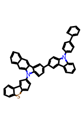 c1ccc(-c2ccc(-n3c4ccccc4c4cc(-c5ccc6c(c5)c5cc7ccccc7cc5n6-c5ccc6sc7ccccc7c6c5)ccc43)cc2)cc1